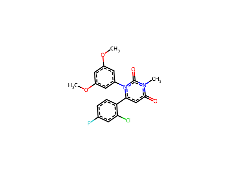 COc1cc(OC)cc(-n2c(-c3ccc(F)cc3Cl)cc(=O)n(C)c2=O)c1